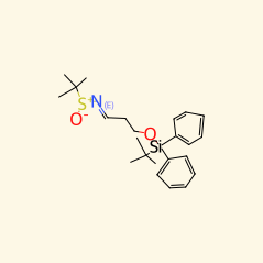 CC(C)(C)[S+]([O-])/N=C/CCO[Si](c1ccccc1)(c1ccccc1)C(C)(C)C